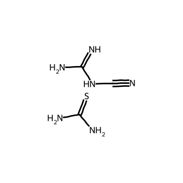 N#CNC(=N)N.NC(N)=S